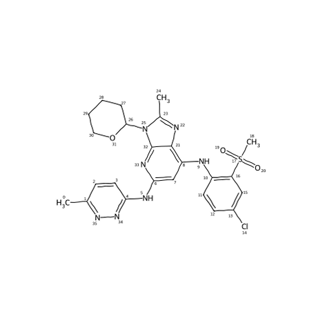 Cc1ccc(Nc2cc(Nc3ccc(Cl)cc3S(C)(=O)=O)c3nc(C)n(C4CCCCO4)c3n2)nn1